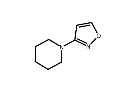 c1cc(N2CCCCC2)no1